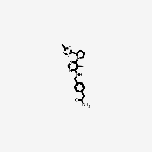 Cc1nnc(C2CCCN2c2ncnc(NCc3ccc(CC(N)=O)cc3)c2F)o1